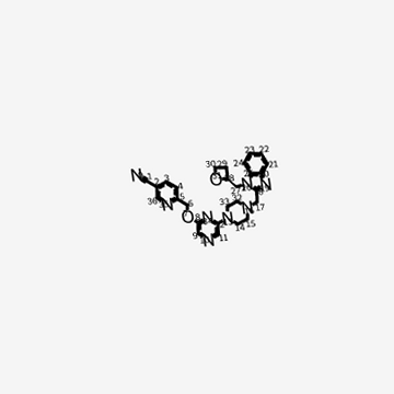 N#Cc1ccc(COc2cncc(N3CCN(Cc4nc5ccccc5n4C[C@@H]4CCO4)CC3)n2)nc1